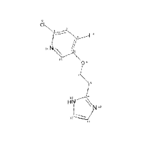 Clc1cc(I)c(OCCc2ncc[nH]2)cn1